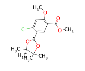 COC(=O)c1cc(B2OC(C)(C)C(C)(C)O2)c(Cl)cc1OC